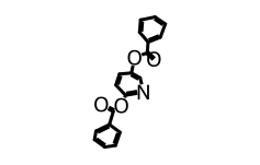 O=C(Oc1ccc(OC(=O)c2ccccc2)nc1)c1ccccc1